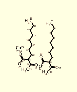 CCCCCCCCC(C(C)=O)C(=O)[O-].CCCCCCCCC(C(C)=O)C(=O)[O-].[Cu+2]